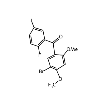 COc1cc(OC(F)(F)F)c(Br)cc1C(=O)c1cc(I)ccc1F